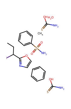 C.CCC(I)c1ncco1.NC(O)=S.NC(O)=S.NS(=O)(=O)c1ccccc1.O.c1ccccc1